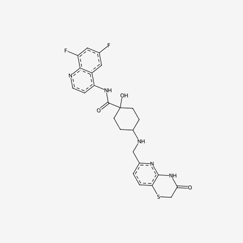 O=C1CSc2ccc(CNC3CCC(O)(C(=O)Nc4ccnc5c(F)cc(F)cc45)CC3)nc2N1